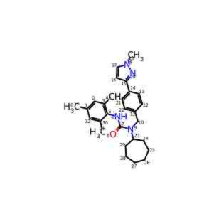 Cc1cc(C)c(NC(=O)N(Cc2ccc(-c3ccn(C)n3)cc2)C2CCCCCC2)c(C)c1